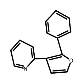 c1ccc(-c2occc2-c2ccccn2)cc1